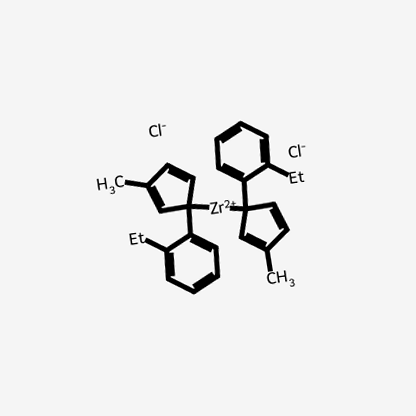 CCc1ccccc1[C]1([Zr+2][C]2(c3ccccc3CC)C=CC(C)=C2)C=CC(C)=C1.[Cl-].[Cl-]